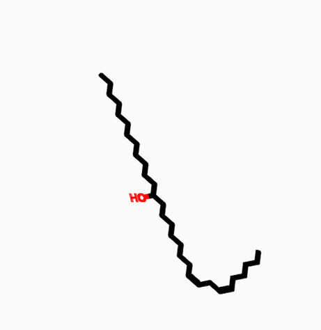 CCCCC/C=C\C/C=C\CCCCCCCC(O)CCCCCCCCCCCC